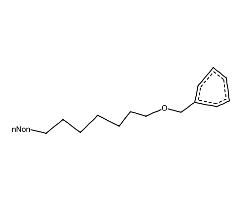 CCCCCCCCCCCCCCCCOCc1ccccc1